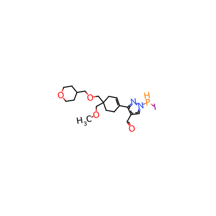 COCC1(COCC2CCOCC2)CC=C(c2nn(PI)cc2C=O)CC1